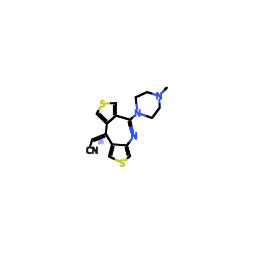 CN1CCN(C2=Nc3cscc3/C(=C\C#N)c3cscc32)CC1